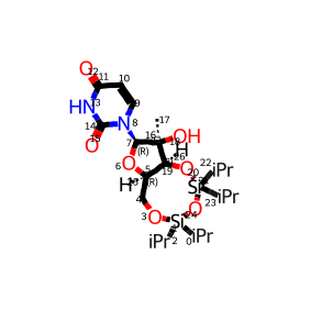 CC(C)[Si]1(C(C)C)OC[C@H]2O[C@@H](n3ccc(=O)[nH]c3=O)[C@@](C)(O)[C@H]2O[Si](C(C)C)(C(C)C)O1